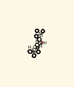 C[C@]12CC[C@H]3[C@@H](CCC4=C[C@@H](O[Si](c5ccccc5)(c5ccccc5)c5ccccc5)CC[C@@]43CO)[C@@H]1CC[C@@H]2O[Si](c1ccccc1)(c1ccccc1)c1ccccc1